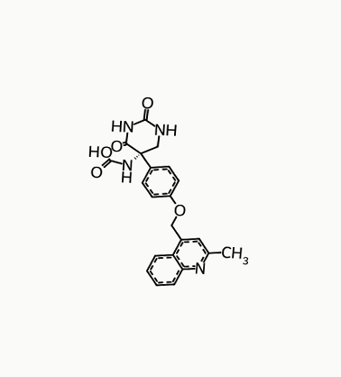 Cc1cc(COc2ccc([C@]3(NC(=O)O)CNC(=O)NC3=O)cc2)c2ccccc2n1